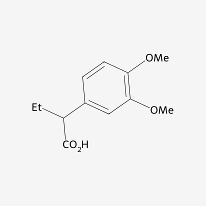 CCC(C(=O)O)c1ccc(OC)c(OC)c1